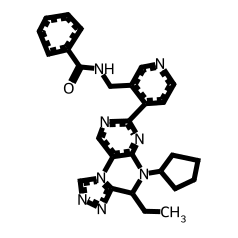 CCC1c2nncn2-c2cnc(-c3ccncc3CNC(=O)c3ccccc3)nc2N1C1CCCC1